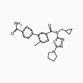 Cc1ccc(C(=O)N(CC2CC2)c2nnc(N3CCCC3)s2)cc1-c1ccc(C(N)=O)cc1